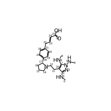 CNc1nn(NC)c(NC)c1CCN1CCC[C@H]1c1ccc(C/C=C/C(=O)O)cc1